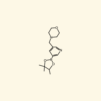 CC1OB(c2cncc(CN3CCOCC3)c2)OC1(C)C